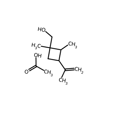 C=C(C)C1CC(C)(CO)C1C.CC(=O)O